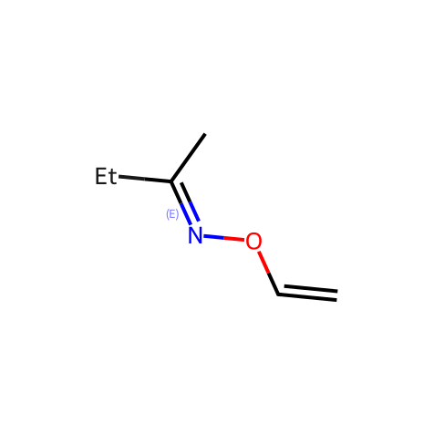 C=CO/N=C(\C)CC